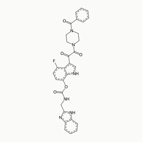 O=C(NCc1nc2ccccc2[nH]1)Oc1ccc(F)c2c(C(=O)C(=O)N3CCN(C(=O)c4ccccc4)CC3)c[nH]c12